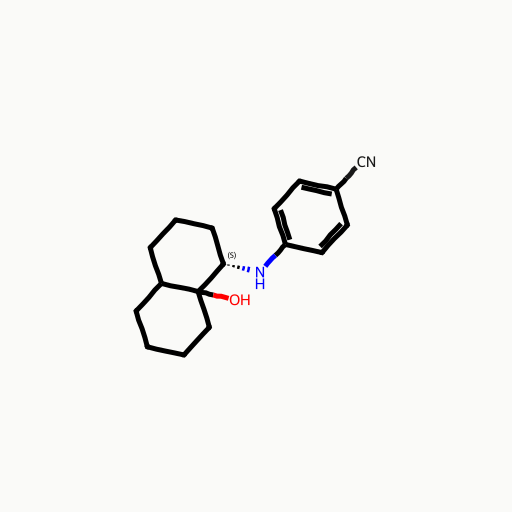 N#Cc1ccc(N[C@H]2CCCC3CCCCC32O)cc1